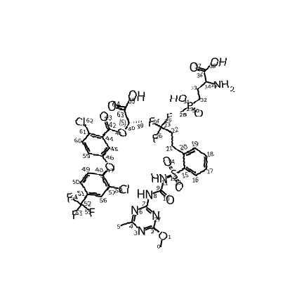 COc1nc(C)nc(NC(=O)NS(=O)(=O)c2ccccc2CCC(F)(F)F)n1.CP(=O)(O)CCC(N)C(=O)O.C[C@H](OC(=O)c1cc(Oc2ccc(C(F)(F)F)cc2Cl)ccc1Cl)C(=O)O